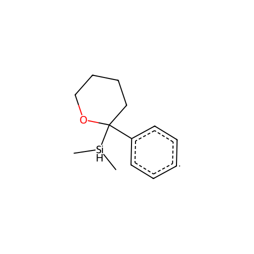 C[SiH](C)C1(c2cc[c]cc2)CCCCO1